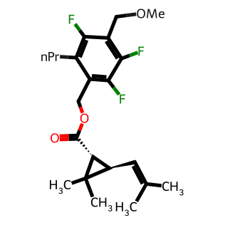 CCCc1c(F)c(COC)c(F)c(F)c1COC(=O)[C@@H]1[C@@H](C=C(C)C)C1(C)C